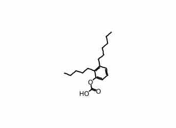 CCCCCCc1cccc(OC(=O)O)c1CCCCC